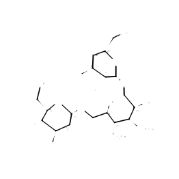 CO[C@@H]([C@H](OC)[C@H](O)CO[C@@H]1O[C@H](CO)[C@@H](O)[C@H](O)[C@H]1O)[C@H](O)CO[C@@H]1O[C@H](CO)[C@@H](O)[C@H](O)[C@H]1O